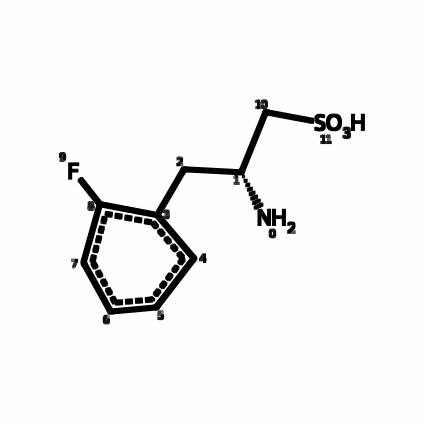 N[C@H](Cc1ccccc1F)CS(=O)(=O)O